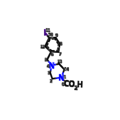 O=C(O)N1CCN(Cc2cccc(I)c2)CC1